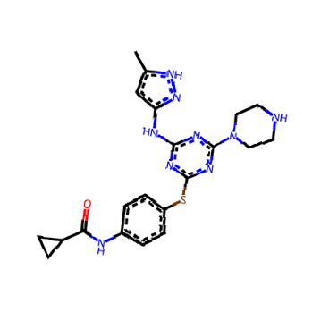 Cc1cc(Nc2nc(Sc3ccc(NC(=O)C4CC4)cc3)nc(N3CCNCC3)n2)n[nH]1